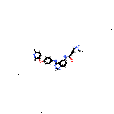 Cc1ccc(Oc2ccc(Nc3ncnc4ccc(NC(=O)C#CCN(C)C)cc34)cc2)cn1